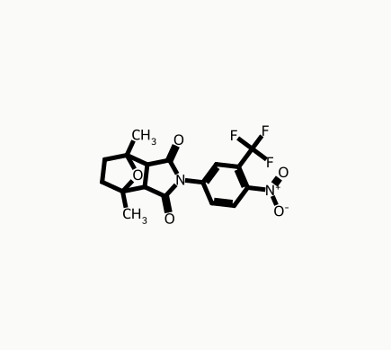 CC12CCC(C)(O1)C1C(=O)N(c3ccc([N+](=O)[O-])c(C(F)(F)F)c3)C(=O)C12